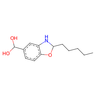 CCCCCC1Nc2cc(C(O)O)ccc2O1